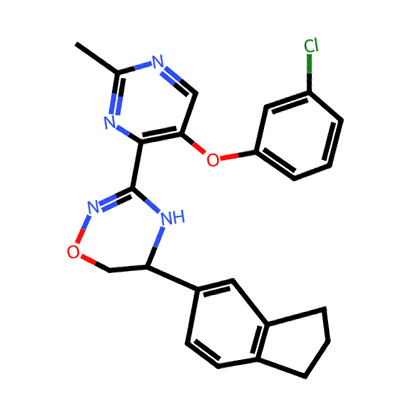 Cc1ncc(Oc2cccc(Cl)c2)c(C2=NOCC(c3ccc4c(c3)CCC4)N2)n1